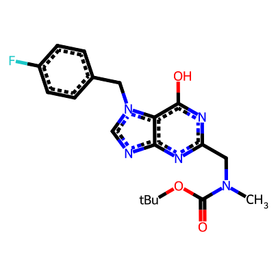 CN(Cc1nc(O)c2c(ncn2Cc2ccc(F)cc2)n1)C(=O)OC(C)(C)C